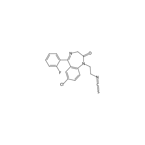 O=C1CN=C(c2ccccc2F)c2cc(Cl)ccc2N1CCN=C=S